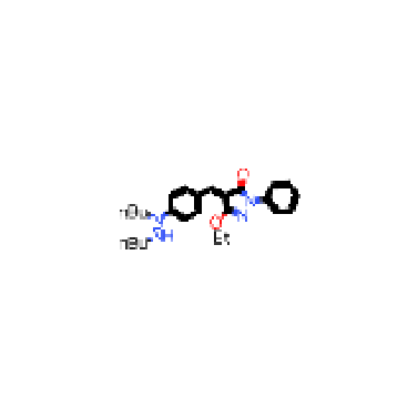 CCCCNN(CCCC)c1ccc(C=C2C(=O)N(c3ccccc3)N=C2OCC)cc1